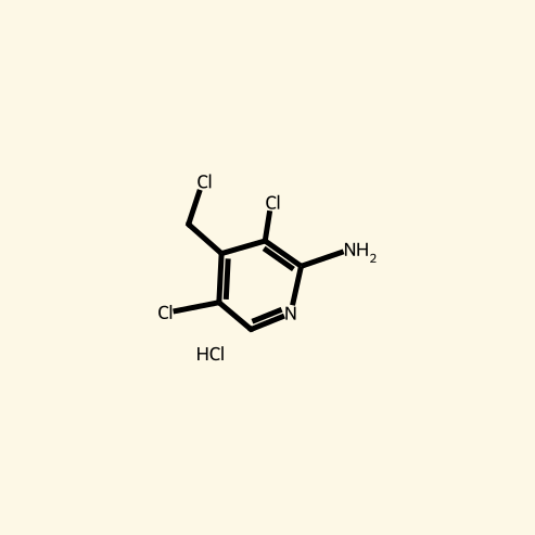 Cl.Nc1ncc(Cl)c(CCl)c1Cl